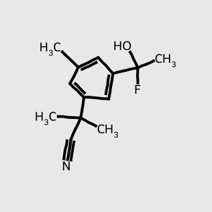 Cc1cc(C(C)(O)F)cc(C(C)(C)C#N)c1